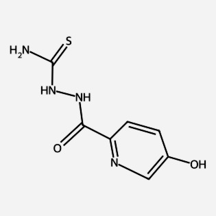 NC(=S)NNC(=O)c1ccc(O)cn1